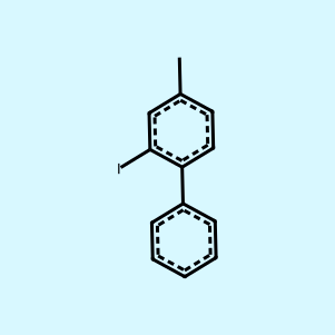 Cc1ccc(-c2ccccc2)c(I)c1